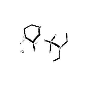 CCN(CC)S(F)(F)F.C[C@@H]1CCNC[C@H]1F.Cl